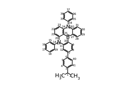 CC(C)c1ccc(-c2ccc3c(c2)N(c2ccccc2)c2cccc4c2B3c2ccccc2N4c2ccccc2)cc1